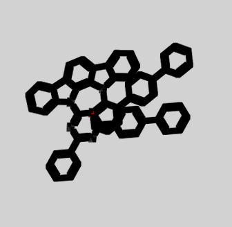 C1=C(c2ccccc2)CCC(c2ccccc2-n2c3ccccc3c3ccc4c5ccccc5n(-c5nc(-c6ccccc6)nc(-c6ccc(-c7ccccc7)cc6)n5)c4c32)=C1